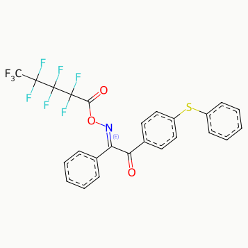 O=C(/C(=N/OC(=O)C(F)(F)C(F)(F)C(F)(F)C(F)(F)F)c1ccccc1)c1ccc(Sc2ccccc2)cc1